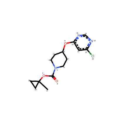 CC1(OC(=O)N2CCC(Oc3cc(Cl)ncn3)CC2)CC1